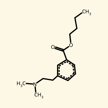 CCCCOC(=O)c1cccc(CCN(C)C)c1